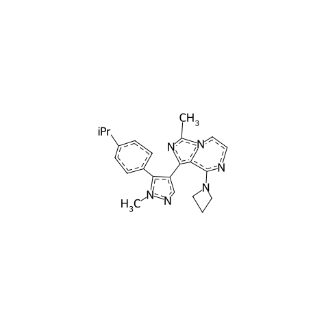 Cc1nc(-c2cnn(C)c2-c2ccc(C(C)C)cc2)c2c(N3CCC3)nccn12